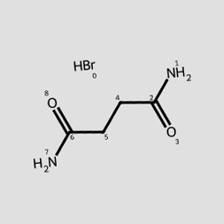 Br.NC(=O)CCC(N)=O